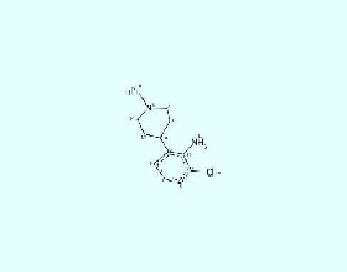 CCCN1CCC(c2cccc(Cl)c2N)CC1